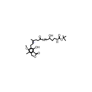 COc1c(C)c2c(c(O)c1C/C=C(\C)CCC(=O)NCCC(O)CCNC(=O)OC(C)(C)C)C(=O)OC2